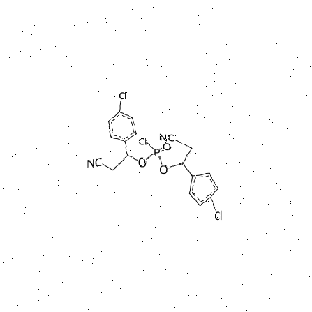 N#CCC(OP(=O)(Cl)OC(CC#N)c1ccc(Cl)cc1)c1ccc(Cl)cc1